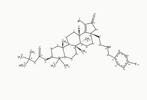 CC(C)C1=C2[C@H]3CCC4[C@@]5(C)CC[C@H](OC(=O)CC(C)(C)C(=O)O)C(C)(C)C5CC[C@@]4(C)[C@]3(C)CC[C@@]2(CCNCc2ccc(F)cc2)CC1=O